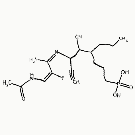 C#CC(/N=C(N)\C(F)=C/NC(C)=O)C(O)C(CCC)CCCP(=O)(O)O